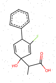 CC(C(=O)O)C1(O)C=CC(c2ccccc2)C(F)=C1